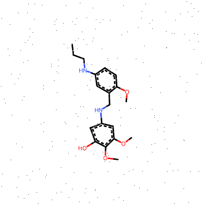 CCCNc1ccc(OC)c(CNc2cc(O)c(OC)c(OC)c2)c1